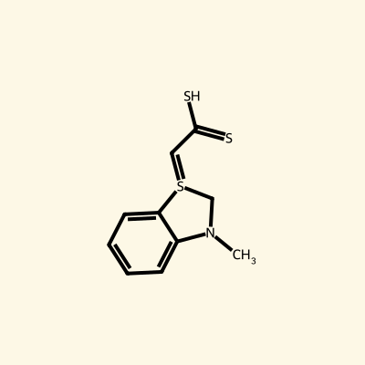 CN1CS(=CC(=S)S)c2ccccc21